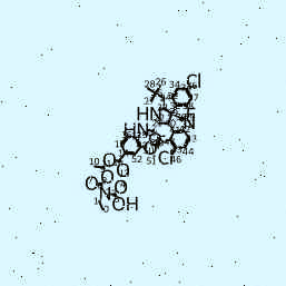 CCN(C(=O)O)C(=O)OC(C)OC(=O)c1ccc(NC(=O)[C@@H]2N[C@@H](CC(C)(C)C)[C@](C#N)(c3ccc(Cl)cc3F)[C@H]2c2cccc(Cl)c2F)c(OC)c1